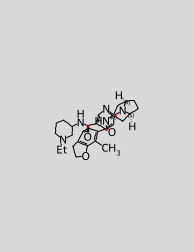 CCN1CCCC(NC(=O)c2ccc(N3[C@@H]4CC[C@H]3C[C@@H](NC(=O)c3ccc5c(c3C)OCC5)C4)nc2)C1